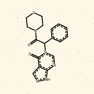 O=C(C(c1ccccc1)n1cnc2[nH]ncc2c1=O)N1CCSCC1